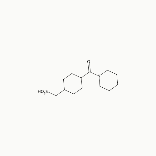 O=C(C1CCC(CS(=O)(=O)O)CC1)N1CCCCC1